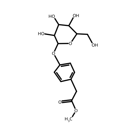 COC(=O)Cc1ccc(OC2OC(CO)C(O)C(O)C2O)cc1